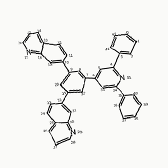 c1ccc(-c2cc(-c3cc(-c4ccc5cccnc5c4)cc(-c4ccc5cccnc5c4)c3)cc(-c3ccccc3)n2)cc1